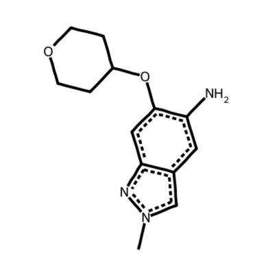 Cn1cc2cc(N)c(OC3CCOCC3)cc2n1